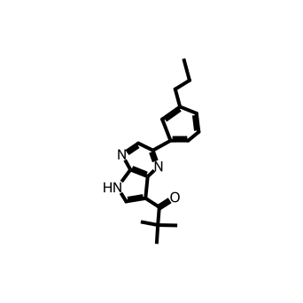 CCCc1cccc(-c2cnc3[nH]cc(C(=O)C(C)(C)C)c3n2)c1